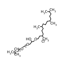 CC(C)CCCC(C)CCCC(C)CCCC(C)CCOCC(O)COCCOCC[N+](C)(C)C.[Cl-]